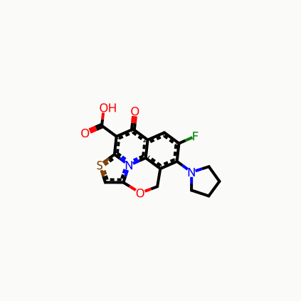 O=C(O)c1c(=O)c2cc(F)c(N3CCCC3)c3c2n2c(csc12)OC3